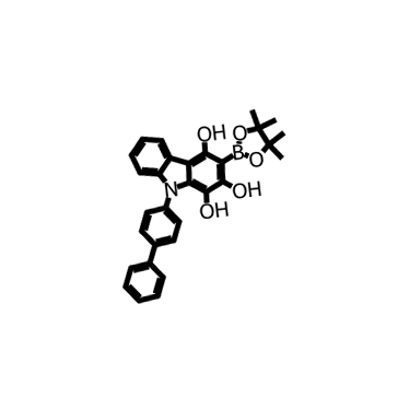 CC1(C)OB(c2c(O)c(O)c3c(c2O)c2ccccc2n3-c2ccc(-c3ccccc3)cc2)OC1(C)C